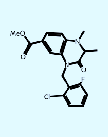 COC(=O)c1ccc2c(c1)N(Cc1c(F)cccc1Cl)C(=O)C(C)N2C